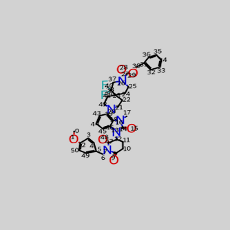 COc1ccc(CN2C(=O)CCC(n3c(=O)n(C)c4c(N5CCC6(CCN(C(=O)OCc7ccccc7)CC6(F)F)CC5)cccc43)C2=O)cc1